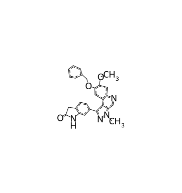 COc1cc2ncc3c(c(-c4ccc5c(c4)NC(=O)C5)nn3C)c2cc1OCc1ccccc1